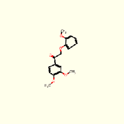 COc1ccc(C(=O)COc2ccccc2OC)cc1OC